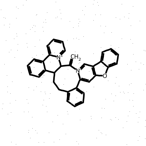 C=C1C2C(CCc3ccccc3-c3cc4oc5ccccc5c4c[n+]31)c1ccccc1-c1cccc[n+]12